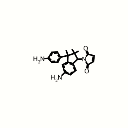 CC1(c2ccc(N)cc2)c2cc(N)ccc2C(N2C(=O)C=CC2=O)C1(C)C